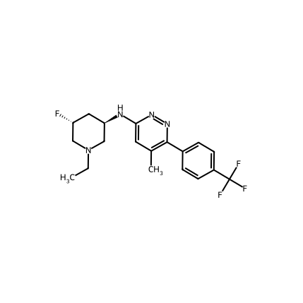 CCN1C[C@H](F)C[C@@H](Nc2cc(C)c(-c3ccc(C(F)(F)F)cc3)nn2)C1